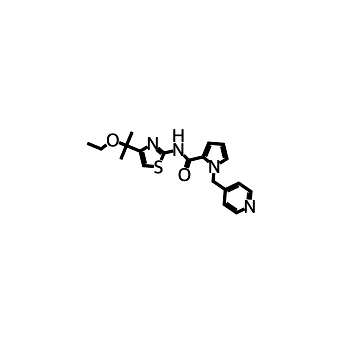 CCOC(C)(C)c1csc(NC(=O)c2cccn2Cc2ccncc2)n1